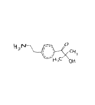 CC(C)(O)C(=O)c1ccc(CCN)cc1